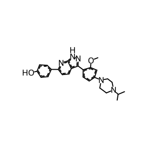 COc1cc(N2CCN(C(C)C)CC2)ccc1-c1n[nH]c2nc(-c3ccc(O)cc3)ccc12